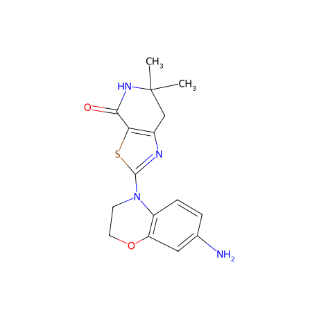 CC1(C)Cc2nc(N3CCOc4cc(N)ccc43)sc2C(=O)N1